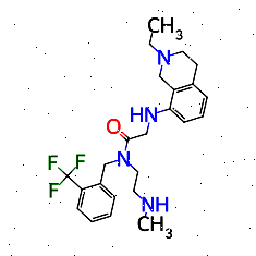 CCN1CCc2cccc(NCC(=O)N(CCNC)Cc3ccccc3C(F)(F)F)c2C1